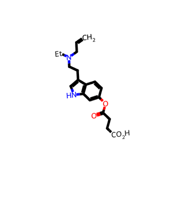 C=CCN(CC)CCc1c[nH]c2cc(OC(=O)CCC(=O)O)ccc12